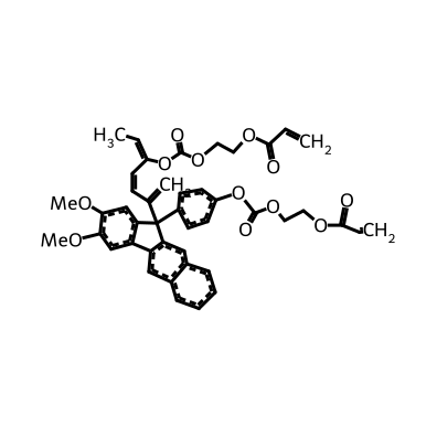 C=CC(=O)OCCOC(=O)OC(/C=C\C(=C)C1(c2ccc(OC(=O)OCCOC(=O)C=C)cc2)c2cc(OC)c(OC)cc2-c2cc3ccccc3cc21)=C/C